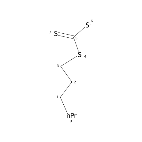 CCCCCCSC([S])=S